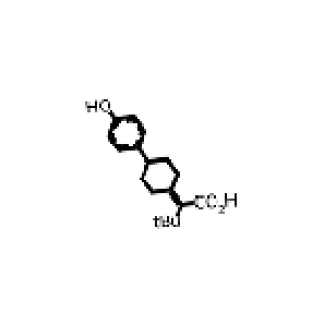 CC(C)(C)C(C(=O)O)=C1CCC(c2ccc(O)cc2)CC1